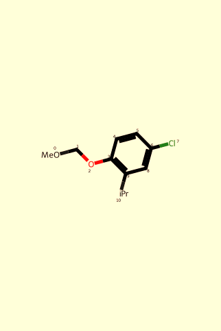 COCOc1ccc(Cl)cc1C(C)C